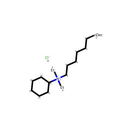 CCCCCCCCCCCCCCCC[N+](CC)(CC)C1CCCCC1.[Cl-]